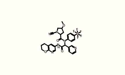 COC1CC(C(=O)N(c2ccc(S(F)(F)(F)(F)F)cc2)C(C(=O)Nc2cnc3c(c2)CCCO3)c2cccnc2)N(C#N)C1